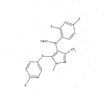 Cn1nc(C(F)(F)F)c(N(C=O)c2ccc(F)cc2F)c1Sc1ccc(F)cc1